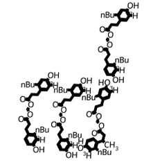 [3H]c1cc(CCC(=O)OCOC(=O)CC(C)c2ccc(O)c([3H])c2CCCC)c(CCCC)cc1O.[3H]c1cc(CCC(=O)OCOC(=O)CCc2ccc(O)c([3H])c2CCCC)c(CCCC)cc1O.[3H]c1cc(CCC(=O)OCOC(=O)CCc2ccc(O)c([3H])c2CCCC)c(CCCC)cc1O.[3H]c1cc(CCC(=O)OCOC(=O)CCc2ccc(O)c([3H])c2CCCC)c(CCCC)cc1O